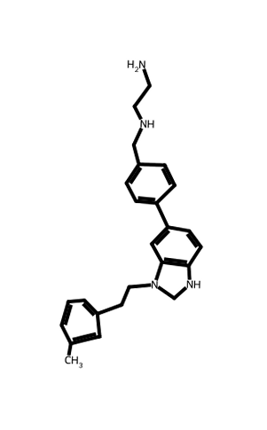 Cc1cccc(CCN2CNc3ccc(-c4ccc(CNCCN)cc4)cc32)c1